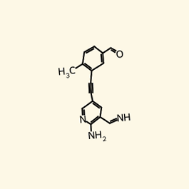 Cc1ccc(C=O)cc1C#Cc1cnc(N)c(C=N)c1